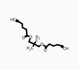 C#CCCCC(=O)OCC(C)(C)COC(=O)CCCC#C